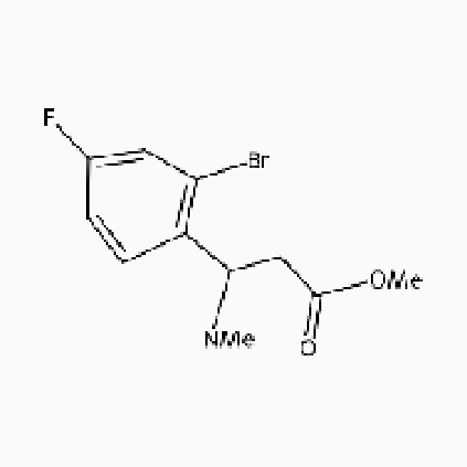 CNC(CC(=O)OC)c1ccc(F)cc1Br